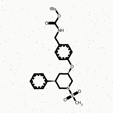 CC(C)(C)OC(=O)NCc1ccc(O[C@@H]2C[C@H](c3ccccc3)CN(S(C)(=O)=O)C2)cc1